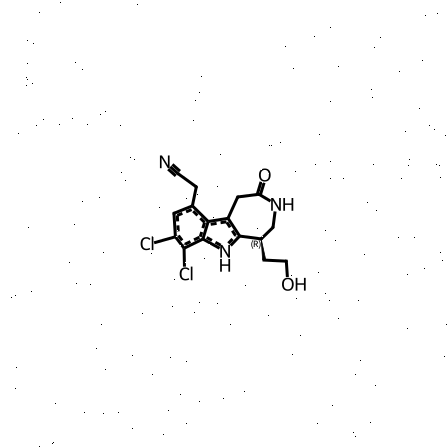 N#CCc1cc(Cl)c(Cl)c2[nH]c3c(c12)CC(=O)NC[C@H]3CCO